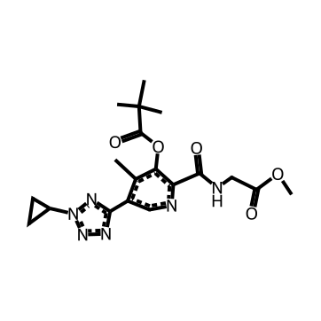 COC(=O)CNC(=O)c1ncc(-c2nnn(C3CC3)n2)c(C)c1OC(=O)C(C)(C)C